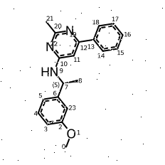 COc1cccc([C@H](C)Nc2cc(-c3ccccc3)nc(C)n2)c1